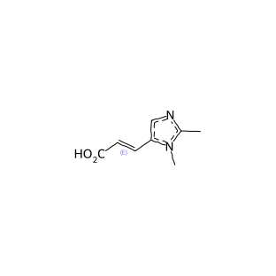 Cc1ncc(/C=C/C(=O)O)n1C